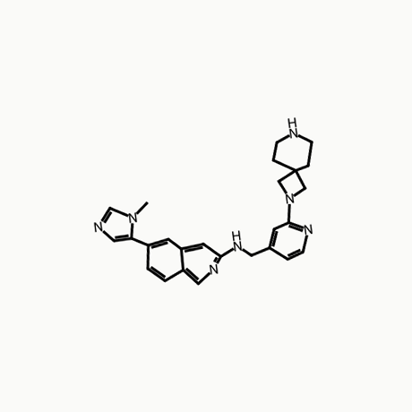 Cn1cncc1-c1ccc2cnc(NCc3ccnc(N4CC5(CCNCC5)C4)c3)cc2c1